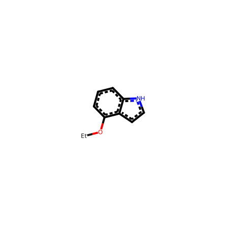 CCOc1cccc2[nH]ccc12